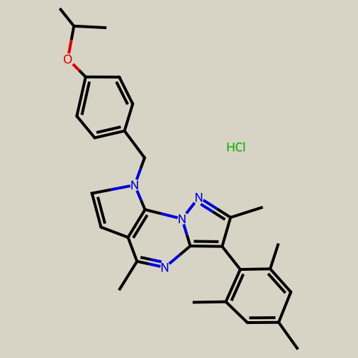 Cc1cc(C)c(-c2c(C)nn3c2nc(C)c2ccn(Cc4ccc(OC(C)C)cc4)c23)c(C)c1.Cl